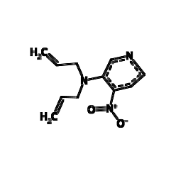 C=CCN(CC=C)c1cnccc1[N+](=O)[O-]